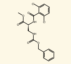 COC(=O)[C@H](CNC(=O)OCc1ccccc1)NC(=O)c1c(Cl)cccc1Cl